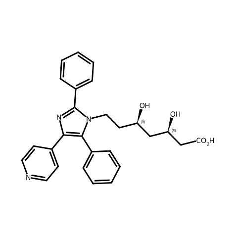 O=C(O)C[C@H](O)C[C@H](O)CCn1c(-c2ccccc2)nc(-c2ccncc2)c1-c1ccccc1